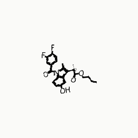 CCCCOC(=O)[C@@H](C)c1c(C)n(C(=O)c2ccc(F)c(F)c2)c2ccc(O)cc12